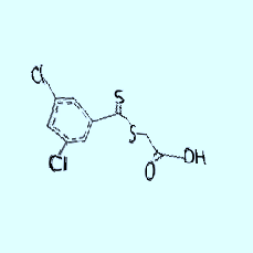 O=C(O)CSC(=S)c1cc(Cl)cc(Cl)c1